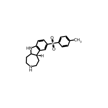 Cc1ccc(S(=O)(=O)c2ccc3c(c2)[C@@H]2CCNCCC2N3)cc1